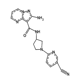 N#Cc1ccc(N2CCC(NC(=O)c3c(N)nn4cccnc34)C2)nc1